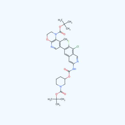 Cc1c(-c2cc3cc(NC(=O)OC4CCCN(C(=O)OC(C)(C)C)C4)ncc3c(Cl)c2F)cnc2c1N(C(=O)OC(C)(C)C)CCO2